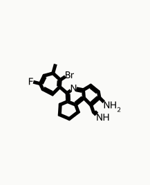 CC1C=C(F)C=CC(c2nc3ccc(N)c(C=N)c3c3c2CCCC3)=C1Br